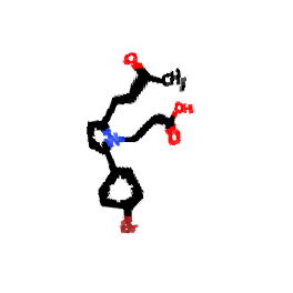 CC(=O)CCc1ccc(-c2ccc(Br)cc2)n1CCC(=O)O